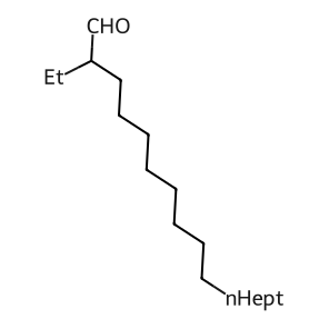 CCCCCCCCCCCCCCCC(C=O)CC